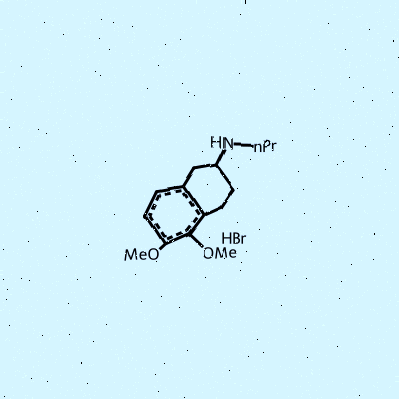 Br.CCCNC1CCc2c(ccc(OC)c2OC)C1